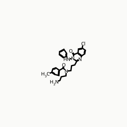 Cc1ccc(C(=O)N(CCCN)CCCc2nc3ccc(Cl)cc3c(=O)n2Nc2ccccc2)cc1